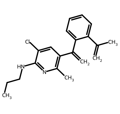 C=C(C)c1ccccc1C(=C)c1cc(Cl)c(NCCC)nc1C